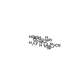 CC(C)Nc1cc(-n2ncc3cc(C#N)cnc32)ncc1C(=O)NCC(F)C(C)(C)OP(O)O